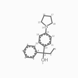 C[CH]C(O)(c1ccccc1)c1ccc(N2CCCC2)cc1